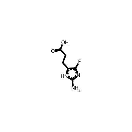 Nc1nc(F)c(CCC(=O)O)[nH]1